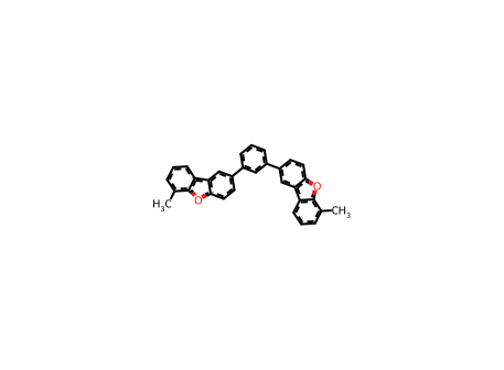 Cc1cccc2c1oc1ccc(-c3cccc(-c4ccc5oc6c(C)cccc6c5c4)c3)cc12